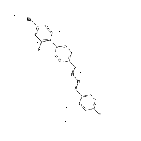 CCc1ccc(-c2ccc(C=NN=Cc3ccc(F)cc3)cc2)c(F)c1